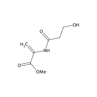 C=C(NC(=O)CCO)C(=O)OC